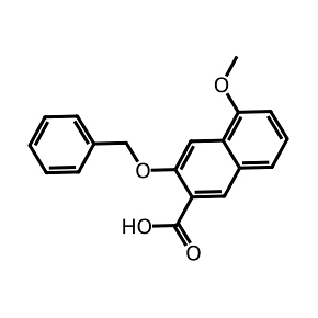 COc1cccc2cc(C(=O)O)c(OCc3ccccc3)cc12